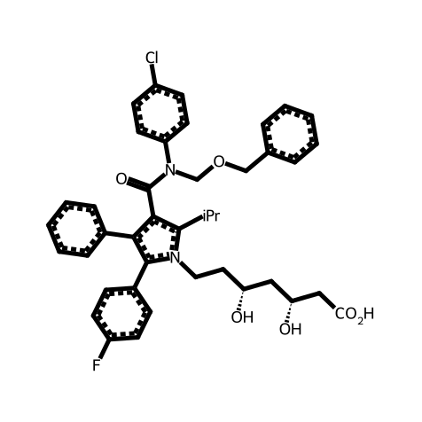 CC(C)c1c(C(=O)N(COCc2ccccc2)c2ccc(Cl)cc2)c(-c2ccccc2)c(-c2ccc(F)cc2)n1CC[C@@H](O)C[C@@H](O)CC(=O)O